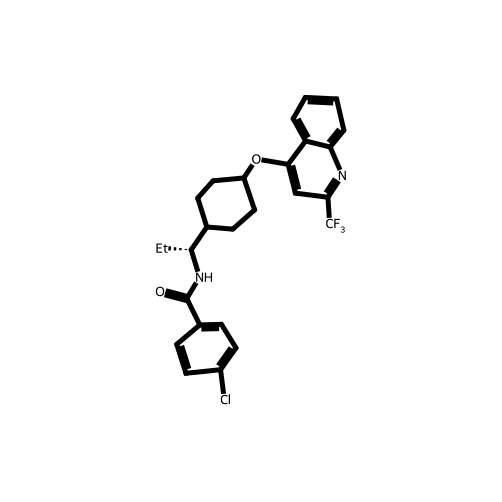 CC[C@@H](NC(=O)c1ccc(Cl)cc1)C1CCC(Oc2cc(C(F)(F)F)nc3ccccc23)CC1